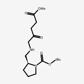 COC(=O)CCC(=O)CNC[C@@H]1CCCN1C(=O)OC(C)(C)C